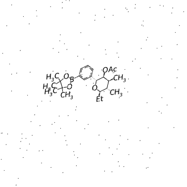 CC[C@H]1O[C@H](c2cccc(B3OC(C)(C)C(C)(C)O3)c2)[C@@H](OC(C)=O)[C@@H](C)[C@@H]1C